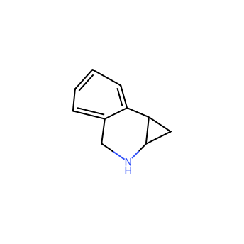 c1ccc2c(c1)CNC1CC21